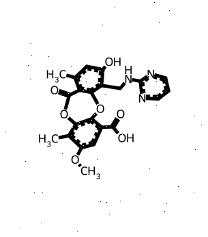 COc1cc(C(=O)O)c2c(c1C)OC(=O)c1c(C)cc(O)c(CNc3ncccn3)c1O2